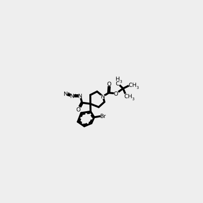 CC(C)(C)OC(=O)N1CCC(C(=O)N=[N+]=[N-])(c2ccccc2Br)CC1